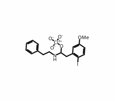 COc1ccc(I)c(CC(NCCc2ccccc2)O[Cl+3]([O-])([O-])[O-])c1